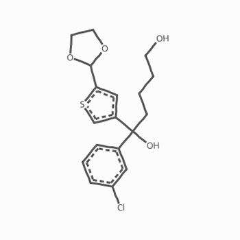 OCCCCC(O)(c1cccc(Cl)c1)c1csc(C2OCCO2)c1